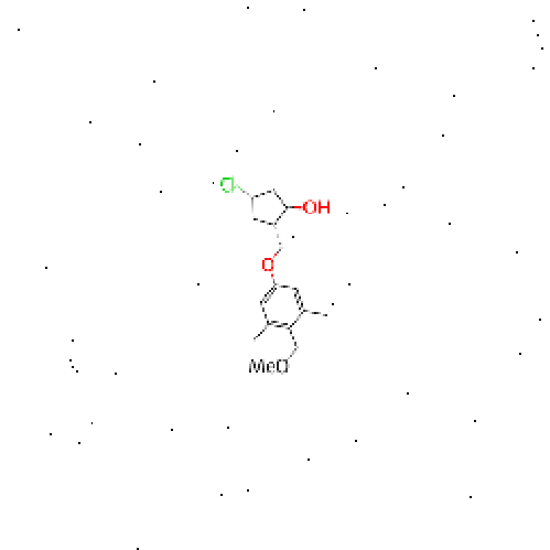 COCc1c(C)cc(OC[C@@H]2C[C@H](Cl)C[C@H]2O)cc1C